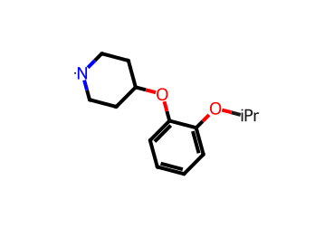 CC(C)Oc1ccccc1OC1CC[N]CC1